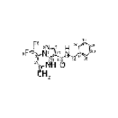 C=C1C=C(C(F)F)n2ncc(C(=O)NCc3ccccc3)c2N1